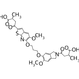 COc1cc2c(cc1OCCCOc1nc3sc(C(=O)C[C@H](C)C(=O)O)cc3cc1OC)CN(C(=O)C[C@H](C)C(=O)O)C2